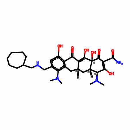 CN(C)c1c(CNCC2CCCCCC2)cc(O)c2c1C[C@H]1C[C@H]3[C@H](N(C)C)C(O)=C(C(N)=O)C(=O)[C@@]3(O)C(O)=C1C2=O